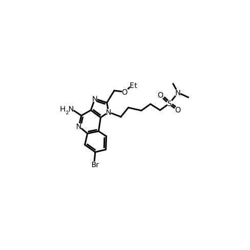 CCOCc1nc2c(N)nc3cc(Br)ccc3c2n1CCCCCS(=O)(=O)N(C)C